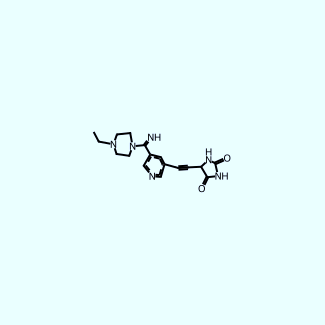 CCN1CCN(C(=N)c2cncc(C#CC3NC(=O)NC3=O)c2)CC1